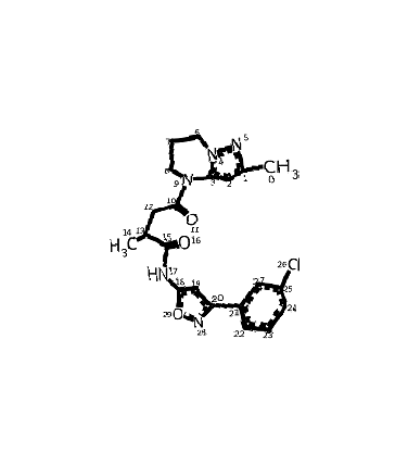 Cc1cc2n(n1)CCCN2C(=O)CC(C)C(=O)Nc1cc(-c2cccc(Cl)c2)no1